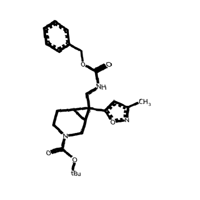 Cc1cc(C2(CNC(=O)OCc3ccccc3)C3CCN(C(=O)OC(C)(C)C)CC32)on1